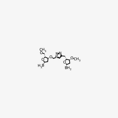 B[C@H]1C[C@@H](OC)[C@@H](Cc2cn(CO[C@@H]3C[C@H](B)O[C@@H]3COC)nn2)O1